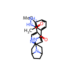 COc1cccc(C(=O)NC2CC3CCC(C2)N3c2ccc(C(=O)NN)cn2)c1C